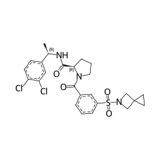 C[C@@H](NC(=O)[C@H]1CCCN1C(=O)c1cccc(S(=O)(=O)N2CC3(CC3)C2)c1)c1ccc(Cl)c(Cl)c1